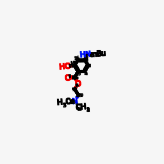 CCCCNc1ccc(C(=O)OCCN(C)C)c(O)c1